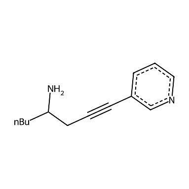 CCCCC(N)CC#Cc1cccnc1